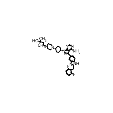 CC(C)(O)CCN1CCN([C@H]2CC[C@H](n3nc(-c4ccc5[nH]c(Cc6c(F)cccc6F)nc5c4)c4c(N)ncnc43)CC2)CC1